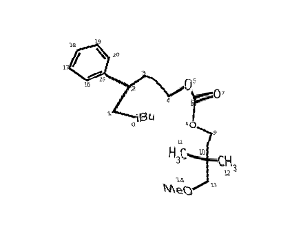 CCC(C)CC(CCOC(=O)OCC(C)(C)COC)c1ccccc1